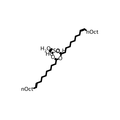 C=C.CCCCCCCCC=CCCCCCCCC(=O)OC(=O)CCCCCCC/C=C\CCCCCCCC.O.O=S(=O)(O)O